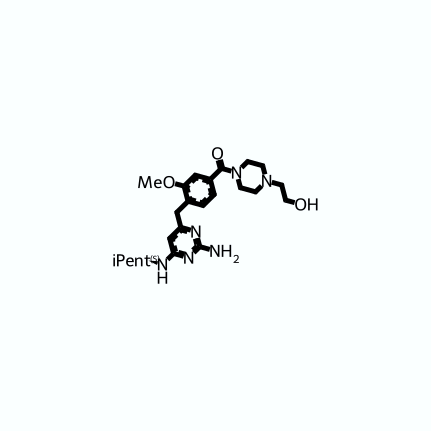 CCC[C@H](C)Nc1cc(Cc2ccc(C(=O)N3CCN(CCO)CC3)cc2OC)nc(N)n1